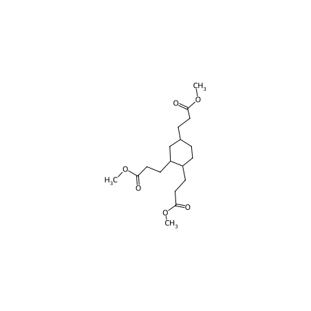 COC(=O)CCC1CCC(CCC(=O)OC)C(CCC(=O)OC)C1